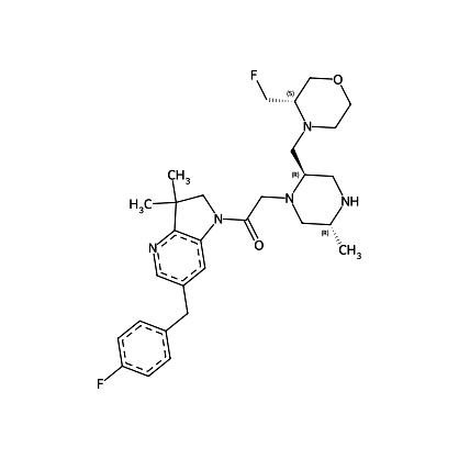 C[C@@H]1CN(CC(=O)N2CC(C)(C)c3ncc(Cc4ccc(F)cc4)cc32)[C@@H](CN2CCOC[C@H]2CF)CN1